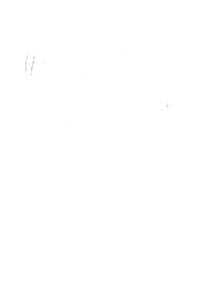 CCCCC(=O)O.[Sb]